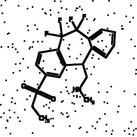 CCS(=O)(=O)c1ccc2c(c1)C(CNC)c1ccccc1C(F)(F)C2(F)F